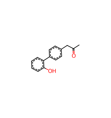 CC(=O)Cc1ccc(-c2ccccc2O)cc1